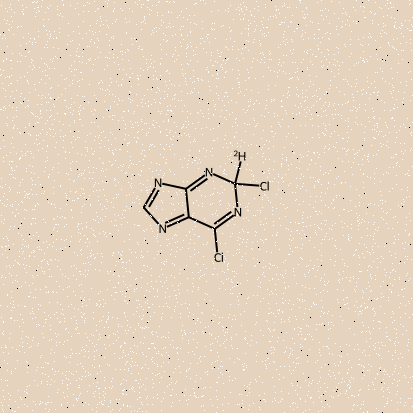 [2H]C1(Cl)N=C(Cl)C2=NC=NC2=N1